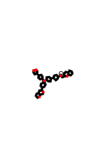 c1ccc(-c2ccc(N(c3ccc(-c4ccc(-c5cc6cc7ccccc7cc6o5)cc4)cc3)c3ccc(-c4ccc5ccccc5c4)cc3)cc2)cc1